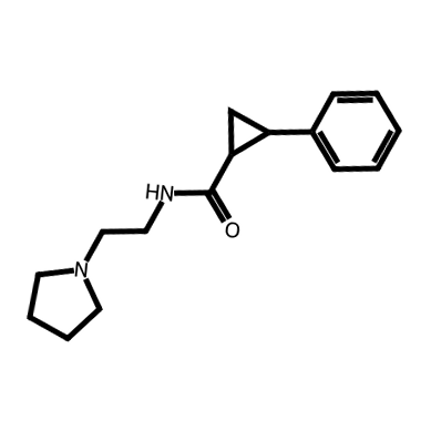 O=C(NCCN1CCCC1)C1CC1c1ccccc1